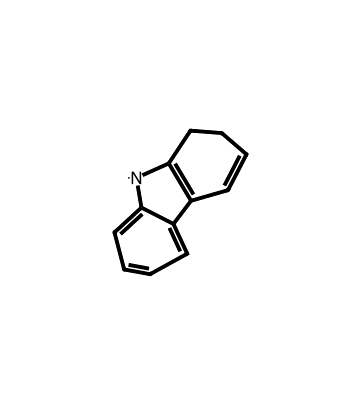 C1=CC2=C(CC1)[N]c1ccccc12